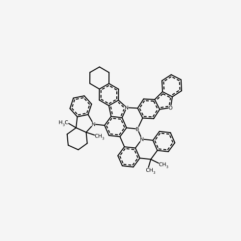 CC1(C)c2ccccc2N2B3c4cc5oc6ccccc6c5cc4-n4c5cc6c(cc5c5c(N7c8ccccc8C8(C)CCCCC78C)cc(c3c54)-c3cccc1c32)CCCC6